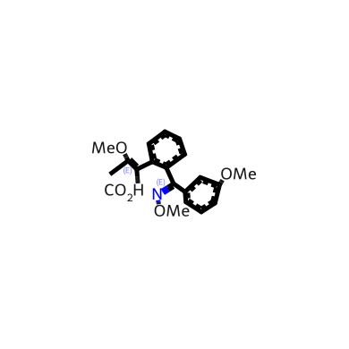 CO/N=C(\c1cccc(OC)c1)c1ccccc1/C(C(=O)O)=C(/C)OC